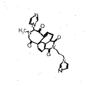 CN1CC(=O)c2ccc3c4c(ccc(c24)C(=O)C1n1ccnc1)C(=O)N(CCCn1ccnc1)C3=O